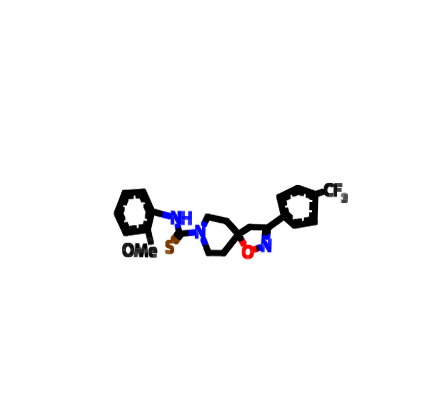 COc1ccccc1NC(=S)N1CCC2(CC1)CC(c1ccc(C(F)(F)F)cc1)=NO2